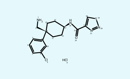 Cl.NC[C@]1(c2cccc(Cl)c2)CC[C@H](NC(=O)c2csnn2)CC1